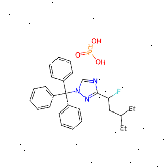 CCC(CC)CC(F)c1ncn(C(c2ccccc2)(c2ccccc2)c2ccccc2)n1.O=[PH](O)O